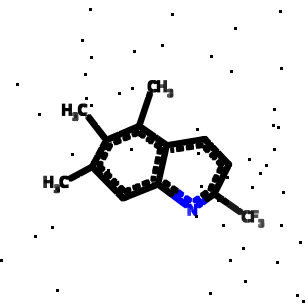 Cc1cc2nc(C(F)(F)F)ccc2c(C)c1C